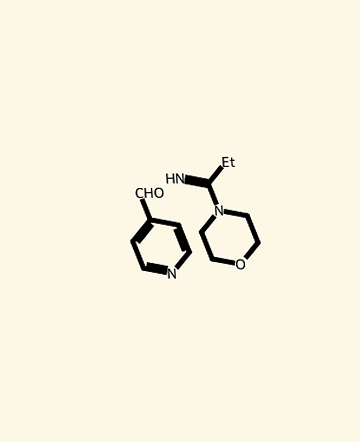 CCC(=N)N1CCOCC1.O=Cc1ccncc1